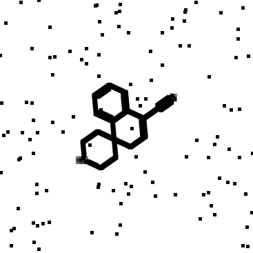 N#CC1=CCC2(CCNCC2)c2ccccc21